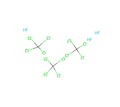 ClC(Cl)(Cl)Cl.ClC(Cl)(Cl)Cl.ClC(Cl)(Cl)Cl.F.F.F